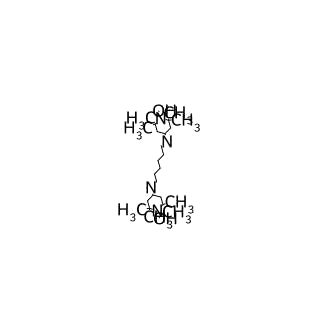 CC1(C)CC(N=CCCCCC=NC2CC(C)(C)N(O)C(C)(C)C2)CC(C)(C)N1O